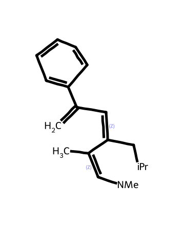 C=C(/C=C(CC(C)C)\C(C)=C/NC)c1ccccc1